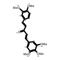 COc1ccc(/C=C/C(=O)/C=C/c2cc(OC)c(OC)c(OC)c2)cc1OC